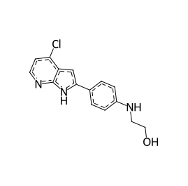 OCCNc1ccc(-c2cc3c(Cl)ccnc3[nH]2)cc1